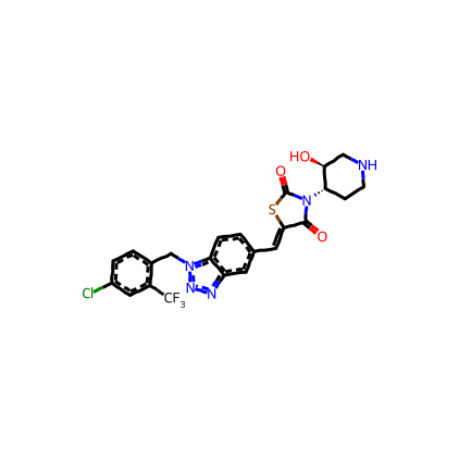 O=C1S/C(=C\c2ccc3c(c2)nnn3Cc2ccc(Cl)cc2C(F)(F)F)C(=O)N1[C@H]1CCNC[C@@H]1O